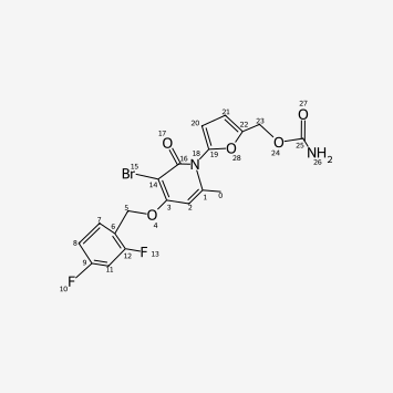 Cc1cc(OCc2ccc(F)cc2F)c(Br)c(=O)n1-c1ccc(COC(N)=O)o1